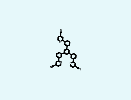 N#Cc1ccnc(-c2cccc(-c3cc(-c4cccc(-c5cc(C#N)ccn5)c4)cc(-c4cccc(-c5cc(C#N)ccn5)c4)c3)c2)c1